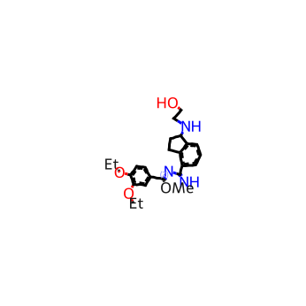 CCOc1ccc(/C(=N/C(=N)c2cccc3c2CCC3NCCO)OC)cc1OCC